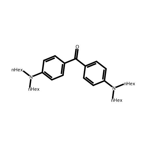 CCCCCCN(CCCCCC)c1ccc(C(=O)c2ccc(N(CCCCCC)CCCCCC)cc2)cc1